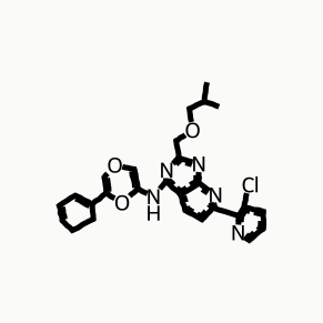 CC(C)COCc1nc(NC2=COC=C(C3=CC=CCC3)O2)c2ccc(-c3ncccc3Cl)nc2n1